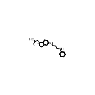 O=C(O)C[C@@H]1CCc2cc(OCCCNc3ccccc3)ccc21